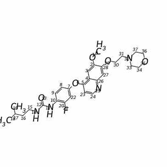 COc1cc2c(Oc3ccc(NC(=O)NCCC(C)C)c(F)c3)ccnc2cc1OCCN1CCOCC1